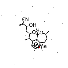 C=C(C#N)[C@H](O)C[C@H]1O[C@@H]2O[C@@H](C)CC[C@H]3[C@H](C)CC[C@@H]([C@H]1C)[C@@]23OOC